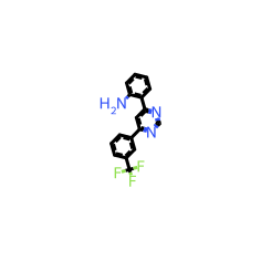 Nc1ccccc1-c1cc(-c2cccc(C(F)(F)F)c2)ncn1